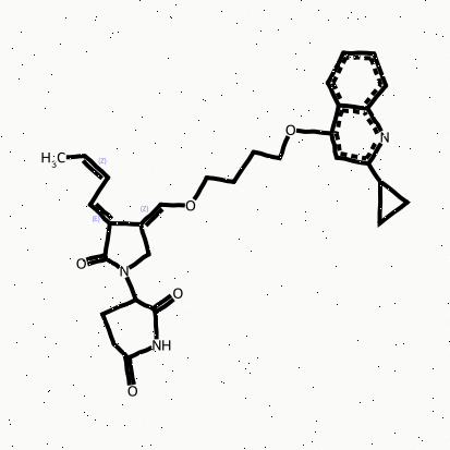 C\C=C/C=C1/C(=O)N(C2CCC(=O)NC2=O)C/C1=C\OCCCCOc1cc(C2CC2)nc2ccccc12